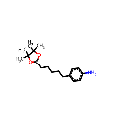 CC1(C)OB(CCCCCc2ccc(N)cc2)OC1(C)C